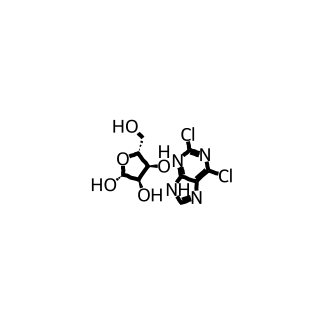 Clc1nc(Cl)c2nc[nH]c2n1.OC[C@H]1O[C@@H](O)[C@H](O)[C@@H]1O